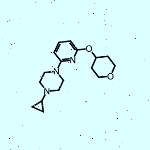 [c]1ccc(OC2CCOCC2)nc1N1CCN(C2CC2)CC1